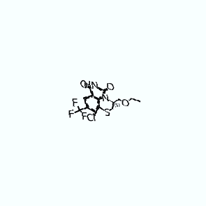 CCOC[C@H]1CSc2c(Cl)c(C(F)(F)F)cc3c(=O)[nH]c(=O)n1c23